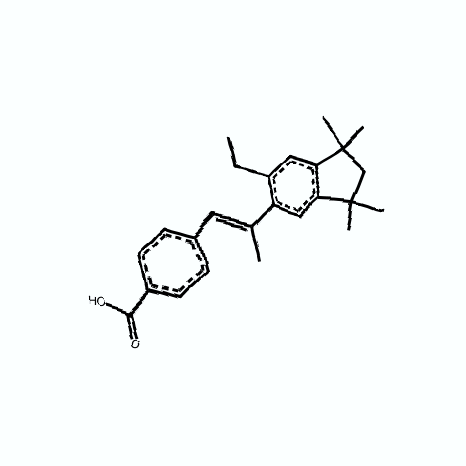 CCc1cc2c(cc1C(C)=Cc1ccc(C(=O)O)cc1)C(C)(C)CC2(C)C